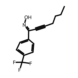 CCCCC#CC(=NO)c1ccc(C(F)(F)F)cc1